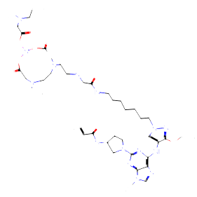 C=CC(=O)N[C@@H]1CN(c2nc(Nc3cn(CCCCCCCNC(=O)CNCCN4CCN(C)CC(=O)ON(OC(=O)CN(C)CC)OC(=O)C4)nc3OC)c3ncn(C)c3n2)C[C@H]1F